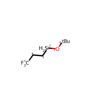 CC(C)(C)O[SiH2]CCC(F)(F)F